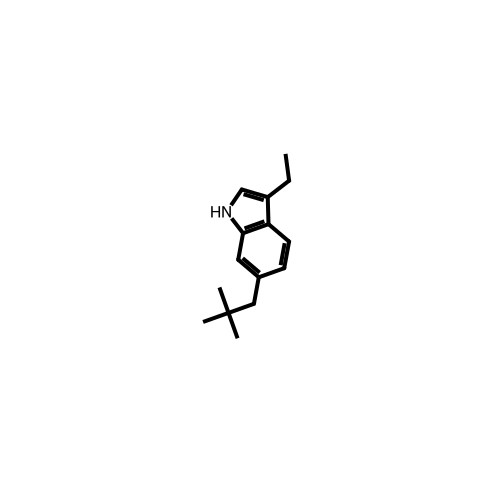 CCc1c[nH]c2cc(CC(C)(C)C)ccc12